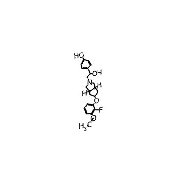 COc1cccc(OC2C[C@@H]3CN(CC(O)c4ccc(O)cc4)C[C@@H]3C2)c1F